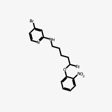 CCC(CCCCNc1cc(Br)ccn1)Oc1ccccc1[N+](=O)[O-]